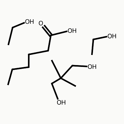 CC(C)(CO)CO.CCCCCC(=O)O.CCO.CCO